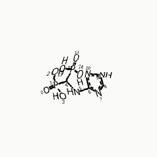 O=P(O)(O)C(Nc1nc[nH]n1)P(=O)(O)O